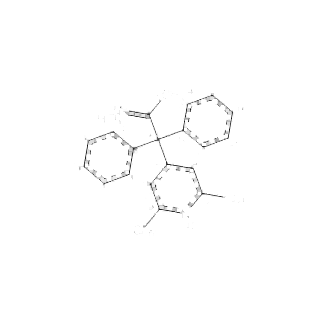 C/C(=N/O)C(c1ccccc1)(c1ccccc1)c1cc(Cl)nc(Cl)c1